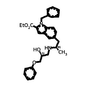 CCOC(=O)c1cc2cc(C[C@@H](C)NC[C@H](O)COc3ccccc3)ccc2n1Cc1ccccc1